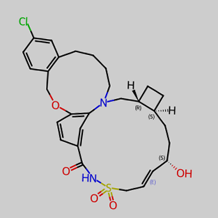 O=C1NS(=O)(=O)C/C=C/[C@@H](O)CC[C@@H]2CC[C@H]2CN2CCCCc3cc(Cl)ccc3COc3ccc1cc32